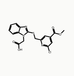 COC(=O)c1cc(Cl)nc(CSc2nc3ccccc3n2CC(=O)O)c1